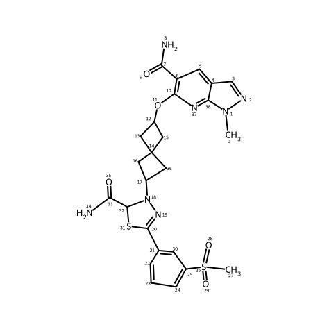 Cn1ncc2cc(C(N)=O)c(OC3CC4(C3)CC(N3N=C(c5cccc(S(C)(=O)=O)c5)SC3C(N)=O)C4)nc21